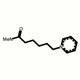 CNC(=O)CCCCC[n+]1ccccc1